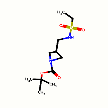 CCS(=O)(=O)NCC1CN(C(=O)OC(C)(C)C)C1